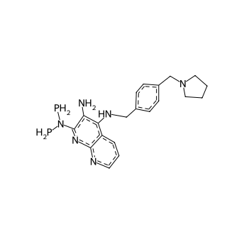 Nc1c(N(P)P)nc2ncccc2c1NCc1ccc(CN2CCCC2)cc1